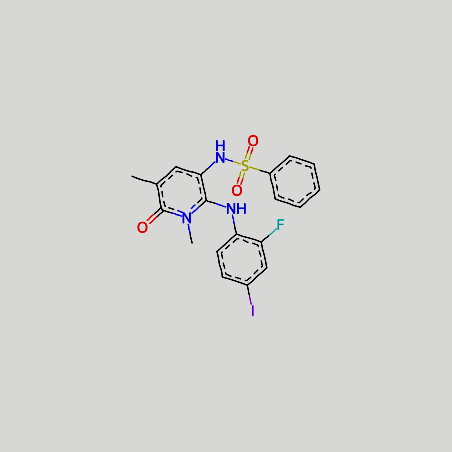 Cc1cc(NS(=O)(=O)c2ccccc2)c(Nc2ccc(I)cc2F)n(C)c1=O